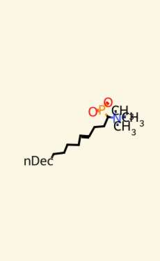 CCCCCCCCCCCCCCC=CCCC(P(=O)=O)[N+](C)(C)C